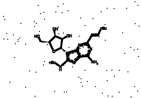 CCCCC=Cc1nc(N)c2nc(NCCCC)n([C@@H]3O[C@H](CO)[C@@H](O)[C@H]3O)c2n1